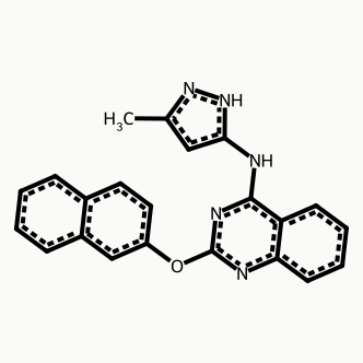 Cc1cc(Nc2nc(Oc3ccc4ccccc4c3)nc3ccccc23)[nH]n1